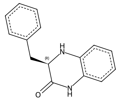 O=C1Nc2ccccc2N[C@@H]1Cc1ccccc1